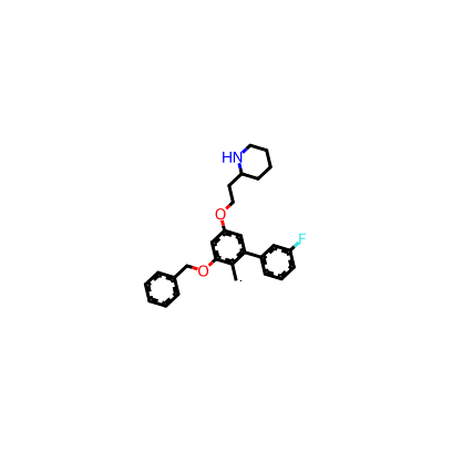 [CH2]c1c(OCc2ccccc2)cc(OCCC2CCCCN2)cc1-c1cccc(F)c1